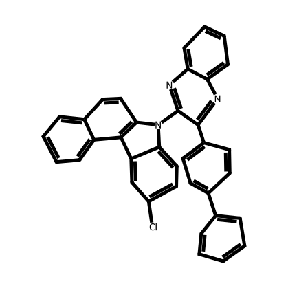 Clc1ccc2c(c1)c1c3ccccc3ccc1n2-c1nc2ccccc2nc1-c1ccc(-c2ccccc2)cc1